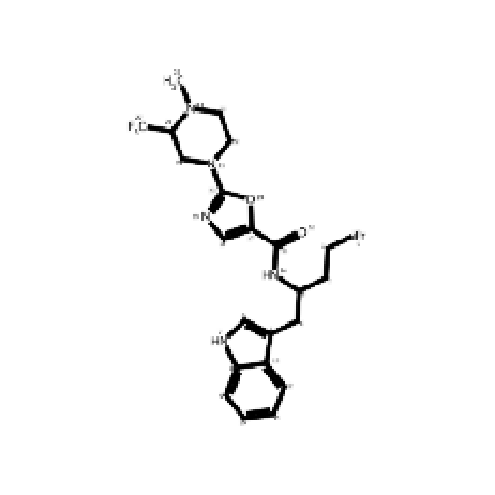 CC(C)CCC(Cc1c[nH]c2ccccc12)NC(=O)c1cnc(N2CCN(C)C(C(F)(F)F)C2)o1